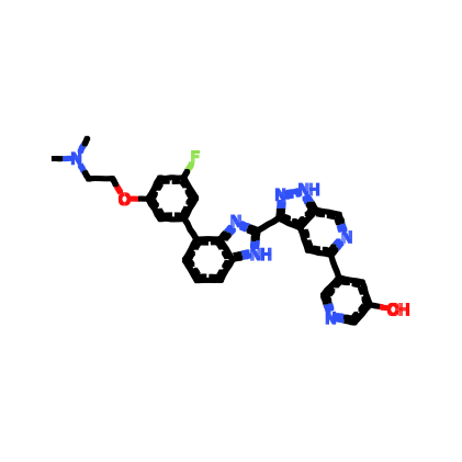 CN(C)CCOc1cc(F)cc(-c2cccc3[nH]c(-c4n[nH]c5cnc(-c6cncc(O)c6)cc45)nc23)c1